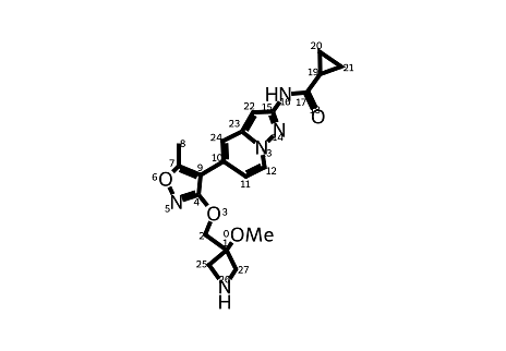 COC1(COc2noc(C)c2-c2ccn3nc(NC(=O)C4CC4)cc3c2)CNC1